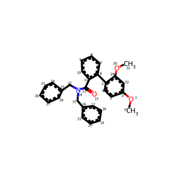 COc1ccc(-c2ccccc2C(=O)N(Cc2ccccc2)Cc2ccccc2)c(OC)c1